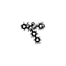 O=c1c2sc3ccccc3c2nc(-c2ccc(-c3ccccc3)cc2)n1CCC1CCOCC1